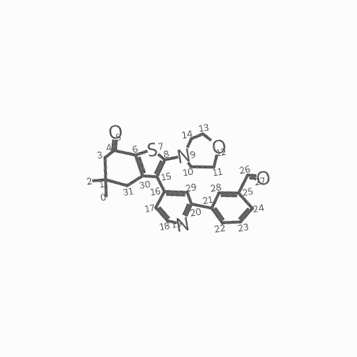 CC1(C)CC(=O)c2sc(N3CCOCC3)c(-c3ccnc(-c4cccc(C=O)c4)c3)c2C1